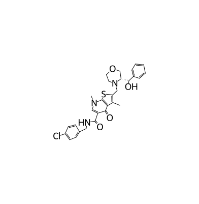 Cc1c(CN2CCOC[C@@H]2C(O)c2ccccc2)sc2c1c(=O)c(C(=O)NCc1ccc(Cl)cc1)cn2C